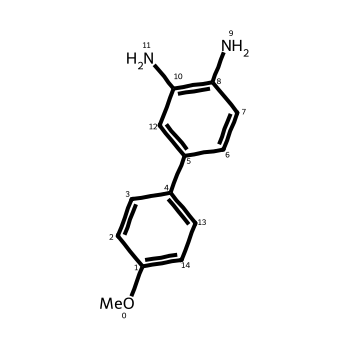 COc1ccc(-c2ccc(N)c(N)c2)cc1